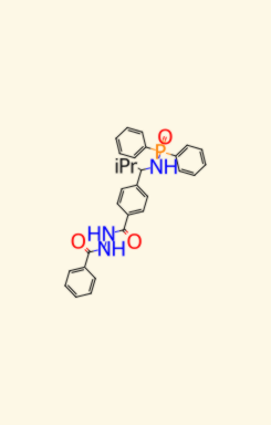 CC(C)C(NP(=O)(c1ccccc1)c1ccccc1)c1ccc(C(=O)NNC(=O)c2ccccc2)cc1